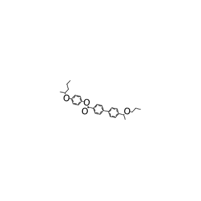 CCCOC(C)c1ccc(-c2ccc(C(=O)Oc3ccc(OC(C)CCC)cc3)cc2)cc1